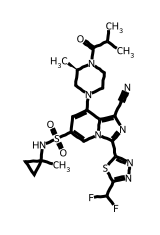 CC(C)C(=O)N1CCN(c2cc(S(=O)(=O)NC3(C)CC3)cn3c(-c4nnc(C(F)F)s4)nc(C#N)c23)C[C@H]1C